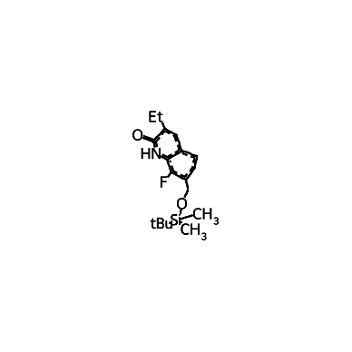 CCc1cc2ccc(CO[Si](C)(C)C(C)(C)C)c(F)c2[nH]c1=O